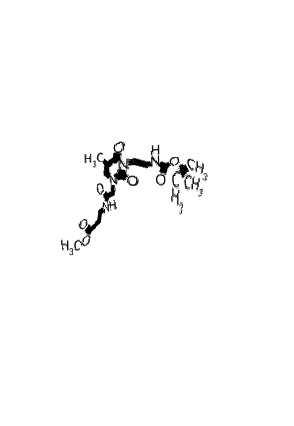 COC(=O)CCNC(=O)Cn1cc(C)c(=O)n(CCNC(=O)OC(C)(C)C)c1=O